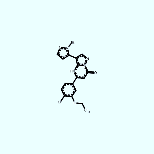 CCn1nccc1-c1cnn2c(=O)cc(-c3ccc(Cl)c(OCC(F)(F)F)c3)[nH]c12